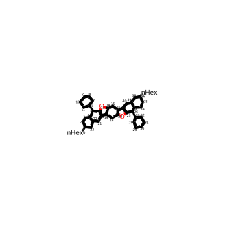 CCCCCCc1ccc2c(-c3ccccc3)c3oc4cc5c(cc4c3cc2c1)oc1c(-c2ccccc2)c2ccc(CCCCCC)cc2cc15